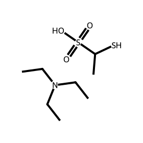 CC(S)S(=O)(=O)O.CCN(CC)CC